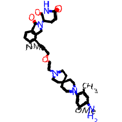 CNc1ccc2c(c1C#CCOCCN1CCC3(CC1)CCN(c1cc(OC)c(N)cc1C)CC3)CN(C1CCC(=O)NC1=O)C2=O